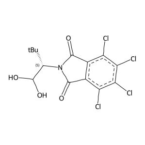 CC(C)(C)[C@@H](C(O)O)N1C(=O)c2c(Cl)c(Cl)c(Cl)c(Cl)c2C1=O